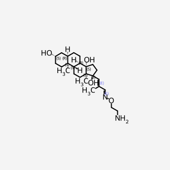 CC(/C=N/OCCN)=C\[C@@]1(O)CC[C@]2(O)[C@@H]3CC[C@@H]4C[C@@H](O)CC[C@]4(C)[C@H]3CC[C@]12C